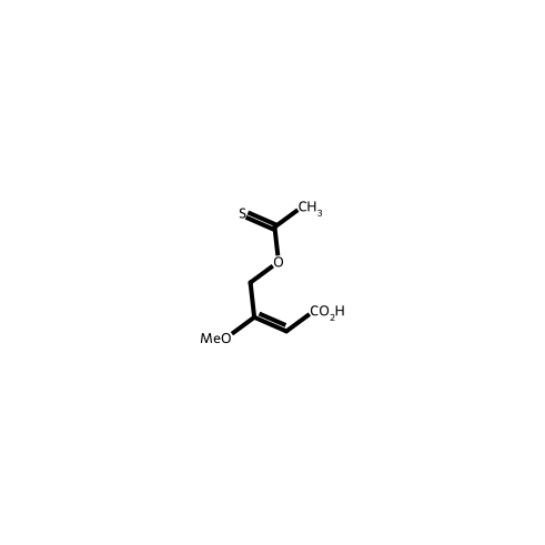 COC(=CC(=O)O)COC(C)=S